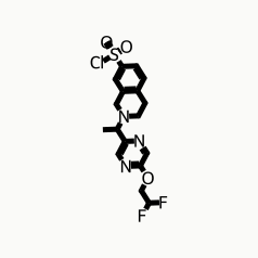 CC(c1cnc(OCC(F)F)cn1)N1CCc2ccc(S(=O)(=O)Cl)cc2C1